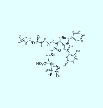 CC(C)(C)[C@H](c1cc(-c2cc(F)ccc2F)cn1Cc1ccccc1)N(CCCNC(=O)OCC[Si](C)(C)C)C(=O)CSC[C@H](N)C(=O)O.O=C(O)C(F)(F)F